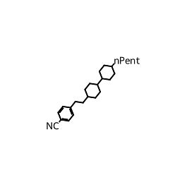 CCCCCC1CCC(C2CCC(CCc3ccc(C#N)cc3)CC2)CC1